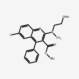 COCCN(C)c1nc2ccc(Cl)cc2c(-c2ccccc2)c1C(=O)OC(C)(C)C